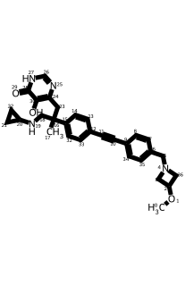 COC1CN(Cc2ccc(C#Cc3ccc(C(C)(CNC4CC4)Cc4nc[nH]c(=O)c4O)cc3)cc2)C1